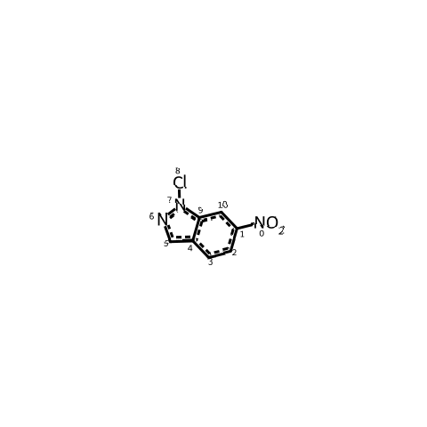 O=[N+]([O-])c1ccc2cnn(Cl)c2c1